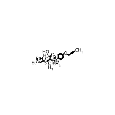 CC#CCOc1ccc(S(=O)(=O)N(C)C(C(=O)NO)C(C)(C)SCCN(CC)CC)cc1